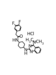 CN(C)c1nc(NC2CCC(NC(=O)Cc3ccc(F)c(F)c3)CC2)nc2ccccc12.Cl